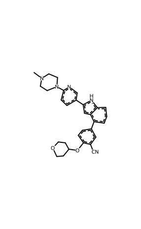 CN1CCN(c2ccc(-c3cc4c(-c5ccc(OC6CCOCC6)c(C#N)c5)cccc4[nH]3)cn2)CC1